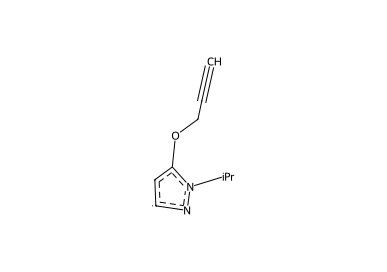 C#CCOc1c[c]nn1C(C)C